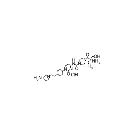 C[C@](N)(CO)C(=O)N1CCN(C(=O)Nc2ccn(-c3ccc(CCN4CC[C@H](N)C4)cc3)c(=O)n2)CC1.Cl